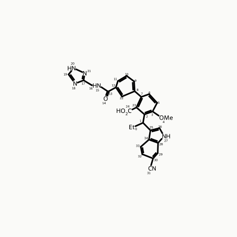 CCC(c1c(OC)ccc(-c2cccc(C(=O)NCc3nc[nH]n3)c2)c1C(=O)O)c1c[nH]c2cc(C#N)ccc12